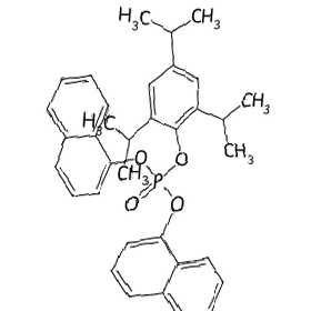 CC(C)c1cc(C(C)C)c(OP(=O)(Oc2cccc3ccccc23)Oc2cccc3ccccc23)c(C(C)C)c1